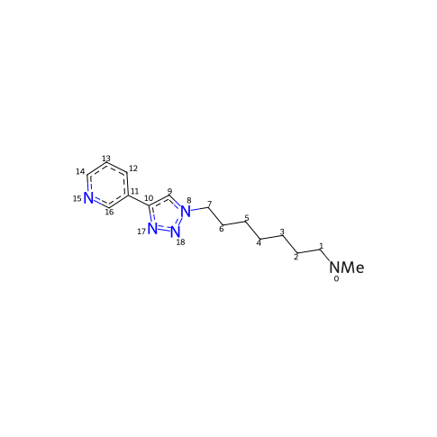 CNCCCCCCCn1cc(-c2cccnc2)nn1